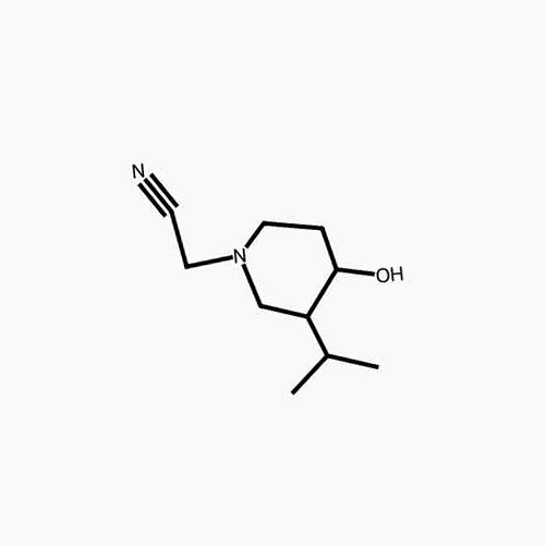 CC(C)C1CN(CC#N)CCC1O